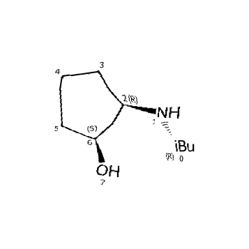 CC[C@@H](C)N[C@@H]1CCC[C@@H]1O